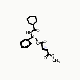 COC(=O)/C=C/C(=O)OC[C@@H](NC(=O)C1CCCCC1)c1ccccc1